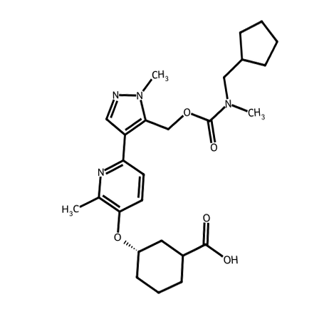 Cc1nc(-c2cnn(C)c2COC(=O)N(C)CC2CCCC2)ccc1O[C@H]1CCCC(C(=O)O)C1